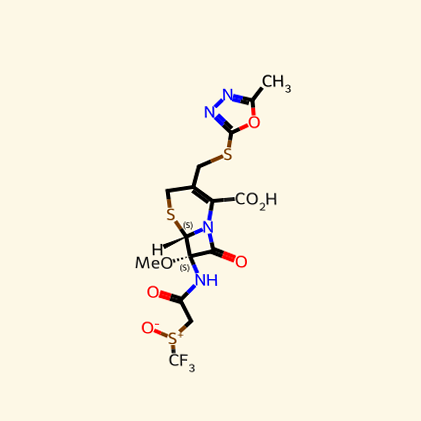 CO[C@@]1(NC(=O)C[S+]([O-])C(F)(F)F)C(=O)N2C(C(=O)O)=C(CSc3nnc(C)o3)CS[C@H]21